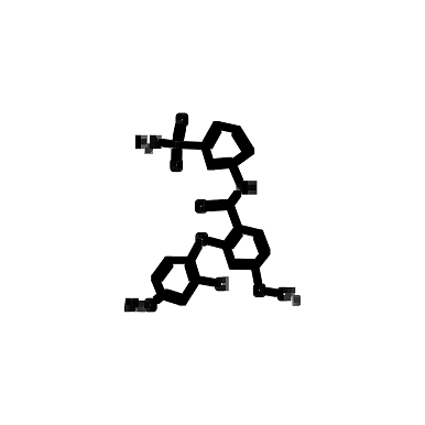 COc1ccc(Oc2cc(OC(F)(F)F)ccc2C(=O)Nc2cccc(S(N)(=O)=O)c2)c(Cl)c1